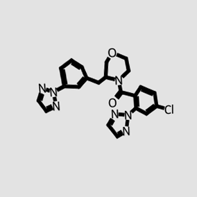 O=C(c1ccc(Cl)cc1-n1nccn1)N1CCOCC1Cc1cccc(-n2nccn2)c1